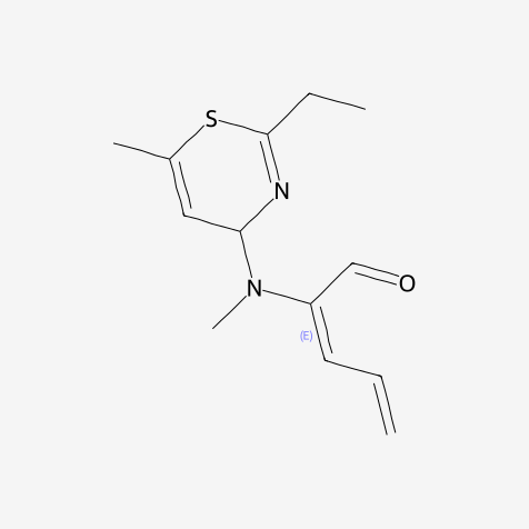 C=C/C=C(\C=O)N(C)C1C=C(C)SC(CC)=N1